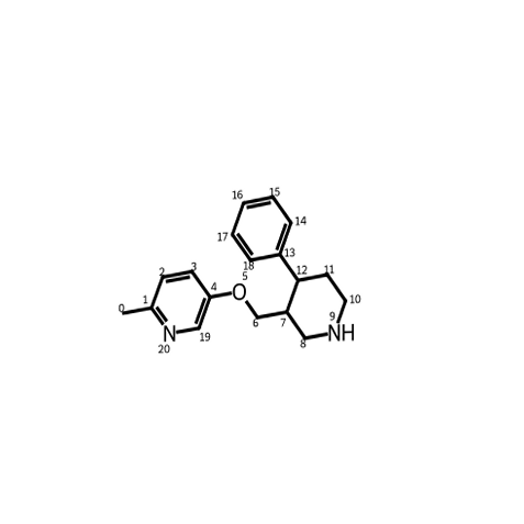 Cc1ccc(OCC2CNCCC2c2ccccc2)cn1